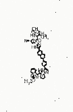 COC(=O)N[C@H](C(=O)N1C[C@@H](C#N)C[C@H]1c1ncc(-c2ccc3cc(-c4ccc(-c5cnc([C@@H]6CCCN6C(=O)[C@H](NC(=O)OC)c6ccccc6)[nH]5)cc4)ccc3c2)[nH]1)C(C)C